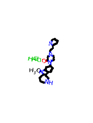 Cl.Cl.Cn1c2c(c3ccc(N4CCN(CCc5ccccn5)CC4=O)cc31)CNCCC2